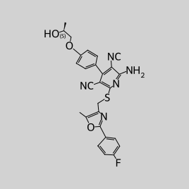 [C-]#[N+]c1c(N)nc(SCc2nc(-c3ccc(F)cc3)oc2C)c(C#N)c1-c1ccc(OC[C@H](C)O)cc1